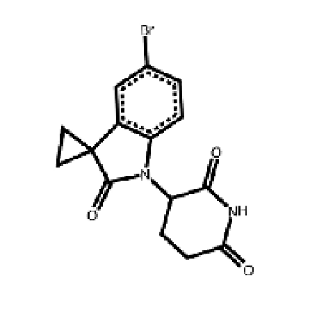 O=C1CCC(N2C(=O)C3(CC3)c3cc(Br)ccc32)C(=O)N1